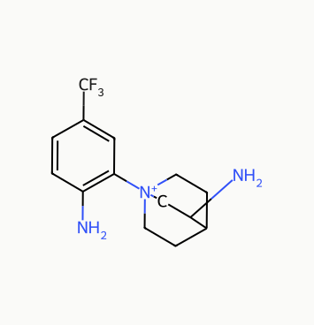 Nc1ccc(C(F)(F)F)cc1[N+]12CCC(CC1)C(N)C2